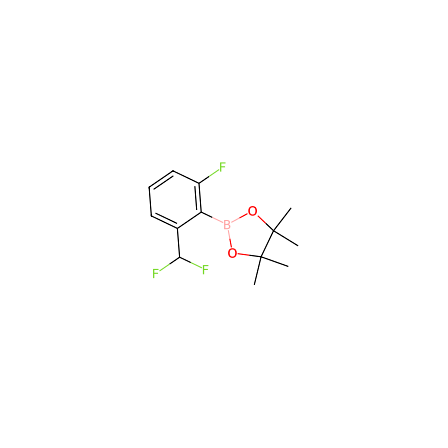 CC1(C)OB(c2c(F)cccc2C(F)F)OC1(C)C